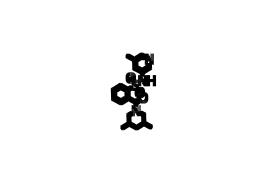 Cc1cncc(NS(=O)(=O)c2ccccc2C(=O)N2CC(C)CC(C)C2)c1